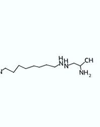 CC(N)CNNCCCCCCCCN